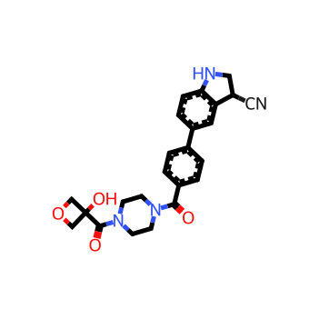 N#CC1CNc2ccc(-c3ccc(C(=O)N4CCN(C(=O)C5(O)COC5)CC4)cc3)cc21